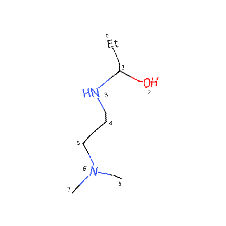 CCC(O)NCCN(C)C